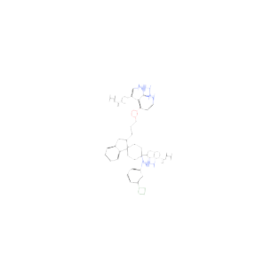 Cc1c[nH]c2nccc(OCCCC3Cc4ccccc4C34CCC(Nc3cccc(Cl)c3)(C(=O)O)CC4)c12